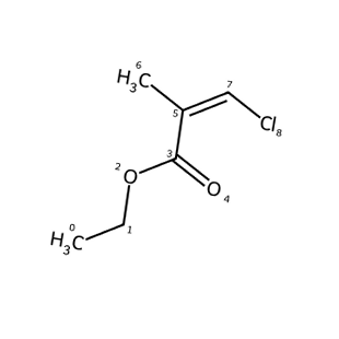 CCOC(=O)/C(C)=C\Cl